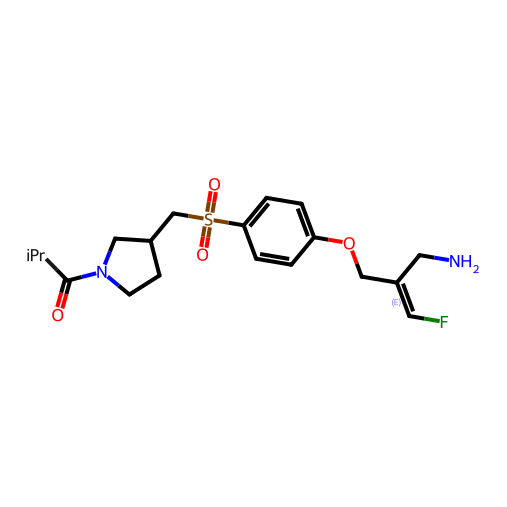 CC(C)C(=O)N1CCC(CS(=O)(=O)c2ccc(OC/C(=C/F)CN)cc2)C1